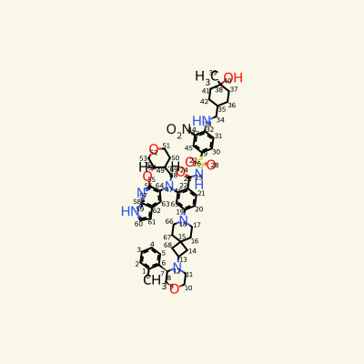 Cc1ccccc1[C@@H]1COCCN1C1CC2(CCN(c3ccc(C(=O)NS(=O)(=O)c4ccc(NCC5CCC(C)(O)CC5)c([N+](=O)[O-])c4)c(N4C[C@@H]5CCOC[C@H]5Oc5nc6[nH]ccc6cc54)c3)CC2)C1